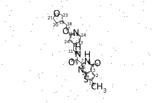 Cc1cc2c(=O)[nH]c(C(=O)NCc3ccnc(OCC4CCOC4)c3)nc2s1